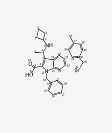 CC(NC1CCC1)c1c(C(=O)O)n(Cc2ccccc2)c2ccccc12.Cc1ccc(CBr)cc1